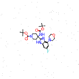 CC(C)(C)OC(=O)NC1(c2nc3c(N4CCOCC4)cc(F)cc3[nH]2)CCN(C(=O)OC(C)(C)C)CC1